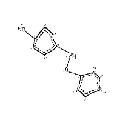 Oc1ccc(POc2ncncn2)cc1